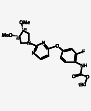 CO[C@H]1CN(c2nccc(Oc3ccc(NC(=O)OC(C)(C)C)c(F)c3)n2)C[C@H]1OC